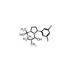 C[C@@H](N)C(O)N1[C@H](c2cc(F)cc(F)c2)CC[C@@H]1C(C)(C)O